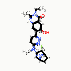 Cc1nc2cc(-c3ccc(N(C)[C@H]4CC5CCC(N5)[C@H]4F)nn3)c(O)cc2c(=O)n1CC(F)(F)F